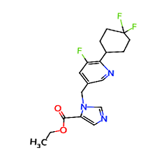 CCOC(=O)c1cncn1Cc1cnc(C2CCC(F)(F)CC2)c(F)c1